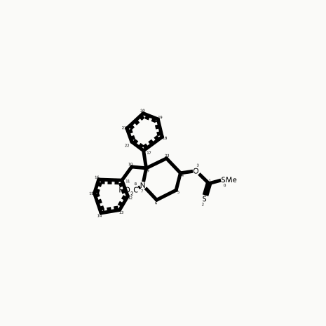 CSC(=S)OC1CCN(C(=O)O)C(Cc2ccccc2)(c2ccccc2)C1